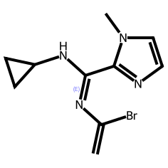 C=C(Br)/N=C(/NC1CC1)c1nccn1C